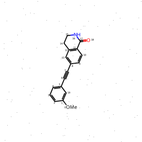 COc1cccc(C#Cc2ccc3c(c2)CCNC3=O)c1